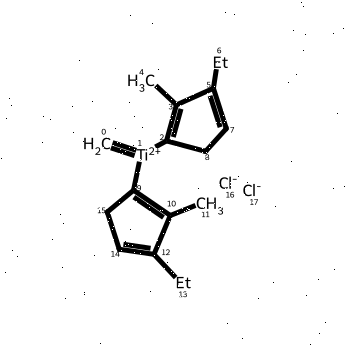 [CH2]=[Ti+2]([C]1=C(C)C(CC)=CC1)[C]1=C(C)C(CC)=CC1.[Cl-].[Cl-]